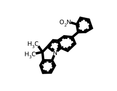 CC1(C)c2ccccc2-n2c1cc1cc(-c3ccccc3[N+](=O)[O-])ccc12